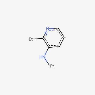 CCc1nc[c]cc1NC(C)C